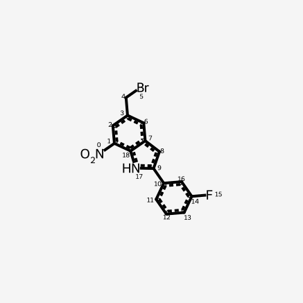 O=[N+]([O-])c1cc(CBr)cc2cc(-c3cccc(F)c3)[nH]c12